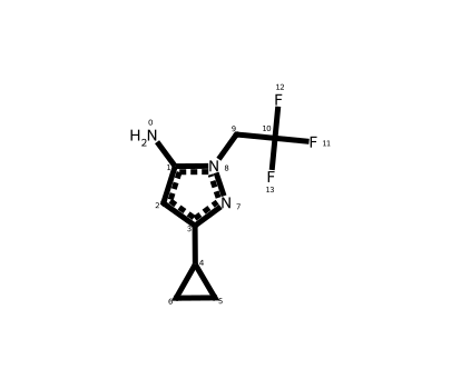 Nc1cc(C2CC2)nn1CC(F)(F)F